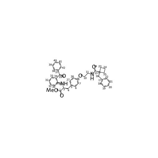 COC(=O)[C@H](Cc1ccc(OCCNC(=O)C2(Cc3ccccc3)CCC2)cc1)Nc1ccccc1C(=O)c1ccccc1